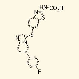 O=C(O)Nc1nc2ccc(Sc3cnc4ccc(-c5ccc(F)cc5)cn34)cc2s1